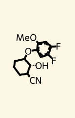 COc1cc(F)c(F)cc1OC1CCCC(C#N)[C@H]1O